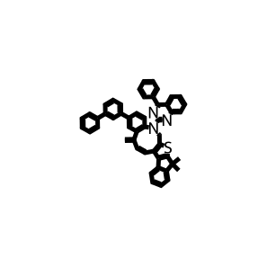 C=C1/C=C\c2c(sc3c2-c2ccccc2C3(C)C)CN(c2nc(-c3ccccc3)c3ccccc3n2)c2ccc(-c3cccc(-c4ccccc4)c3)cc21